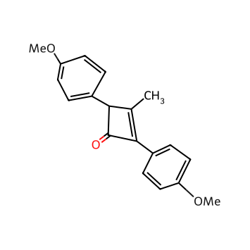 COc1ccc(C2=C(C)C(c3ccc(OC)cc3)C2=O)cc1